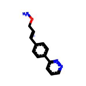 NOC/C=C/c1ccc(-c2cccnn2)cc1